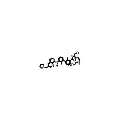 Cc1c(Nc2nccc3cc(CN4CCCC4)cnc23)cccc1-c1cccc(-c2nc(C=O)c(/C=C\N(C)CCO)o2)c1C